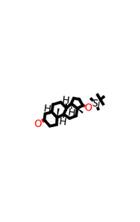 CC(C)(C)[Si](C)(C)OC1CC[C@@H]2[C@H]3CC[C@@H]4CC(=O)CC[C@@]4(C)[C@@H]3CC[C@@]12C